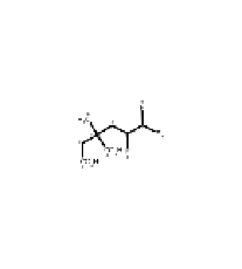 CC(CC(=O)O)(CC(F)C(F)F)C(=O)O